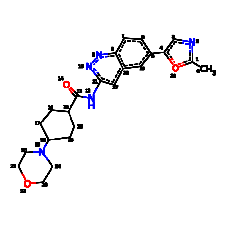 Cc1ncc(-c2ccc3nnc(NC(=O)C4CCC(N5CCOCC5)CC4)cc3c2)o1